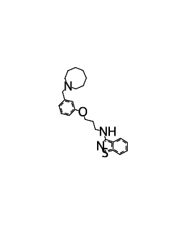 c1cc(CN2CCCCCCC2)cc(OCCCNc2nsc3ccccc23)c1